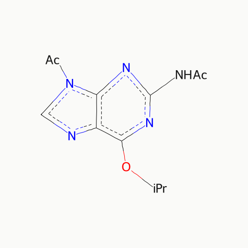 CC(=O)Nc1nc(OC(C)C)c2ncn(C(C)=O)c2n1